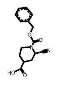 N#CC1CC(C(=O)O)CCN1C(=O)OCc1ccccc1